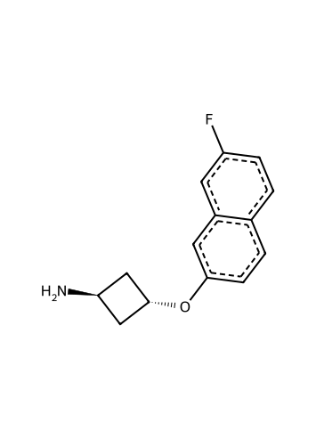 N[C@H]1C[C@H](Oc2ccc3ccc(F)cc3c2)C1